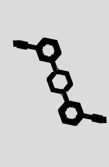 N#Cc1cccc(N2CCN(c3cccc(C#N)c3)CC2)c1